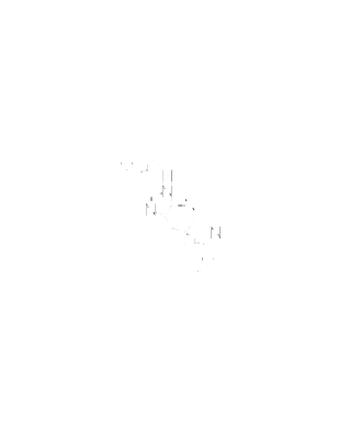 CCOC(=O)Cc1nc2ccc(C3CCCCCN3C(=O)OC(C)(C)C)nc2[nH]1